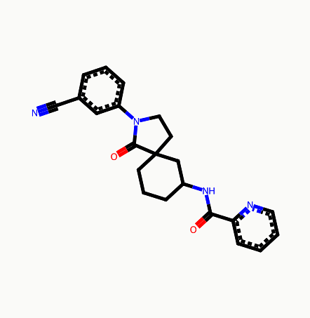 N#Cc1cccc(N2CCC3(CCCC(NC(=O)c4ccccn4)C3)C2=O)c1